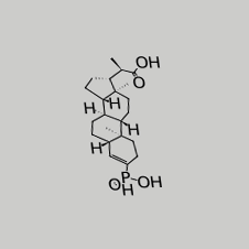 C[C@@H](C(=O)O)[C@H]1CC[C@H]2[C@@H]3CC[C@H]4C=C([PH](=O)O)CC[C@]4(C)[C@H]3CC[C@]12C